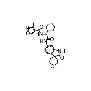 Cc1nocc1C(=O)NC(C(=O)Nc1ccc2c(c1)NC(=O)C21CCOCC1)C1CCCCC1